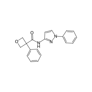 O=C(Nc1ccn(-c2ccccc2)n1)C1(c2ccccc2)COC1